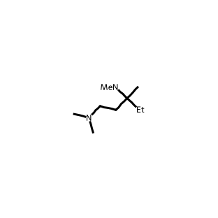 CCC(C)(CCN(C)C)NC